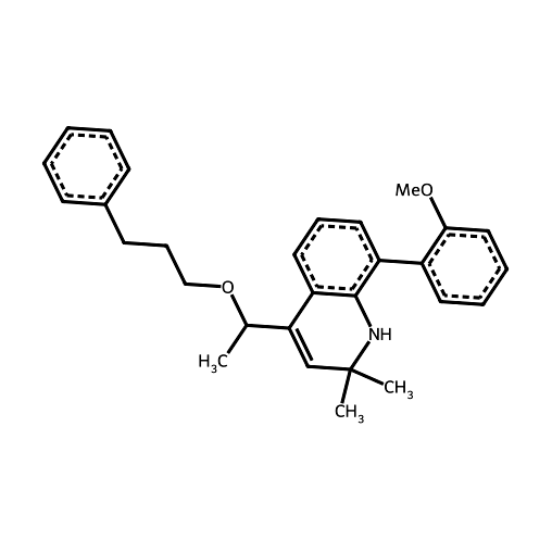 COc1ccccc1-c1cccc2c1NC(C)(C)C=C2C(C)OCCCc1ccccc1